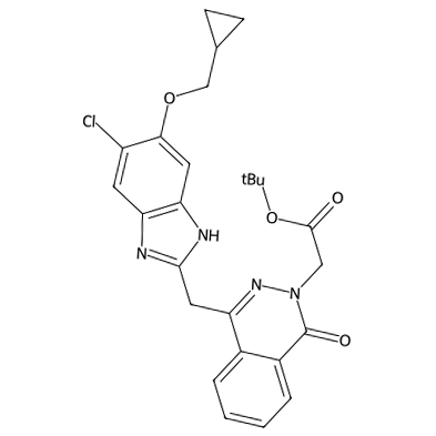 CC(C)(C)OC(=O)Cn1nc(Cc2nc3cc(Cl)c(OCC4CC4)cc3[nH]2)c2ccccc2c1=O